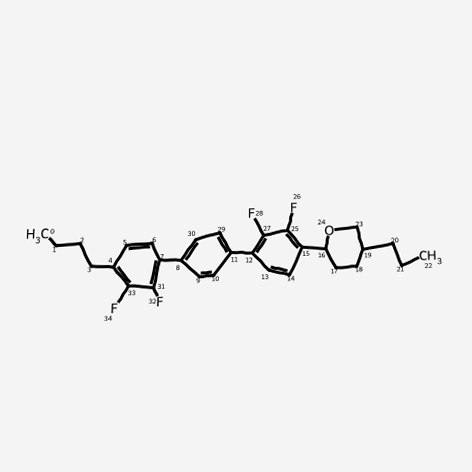 CCCCc1ccc(-c2ccc(-c3ccc(C4CCC(CCC)CO4)c(F)c3F)cc2)c(F)c1F